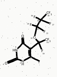 Cc1[nH]c(=O)[nH]c(=O)c1C(F)(OC(F)(F)C(F)(F)C(F)(F)F)C(F)(F)F